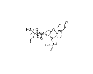 C=CC[C@@H](C(C)(C)O)S(=O)(=O)NC(=O)c1ccc2c(c1)N(C[C@@H]1CC[C@H]1[C@@H](O)C=C)C[C@@]1(CCCc3cc(Cl)ccc31)CO2